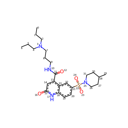 CCCN(CCC)CCCNC(=O)c1cc(=O)[nH]c2ccc(S(=O)(=O)N3CCC(C)CC3)cc12